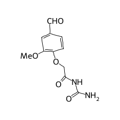 COc1cc(C=O)ccc1OCC(=O)NC(N)=O